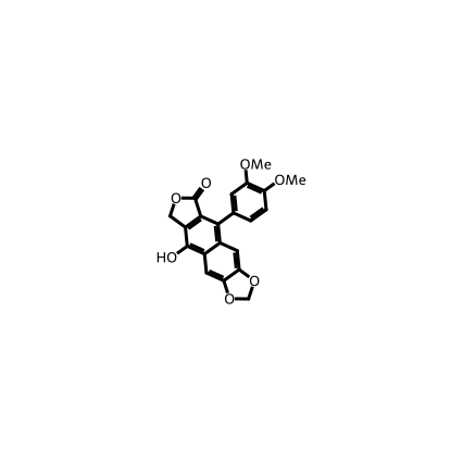 COc1ccc(-c2c3c(c(O)c4cc5c(cc24)OCO5)COC3=O)cc1OC